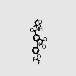 CC1(NC(=O)c2ccc3c(c2)C(=O)C(=O)N3c2cccc(OC(F)F)c2)CCOS1